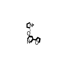 CN1CCC[C@H]1COc1cncc(-c2ccco2)c1